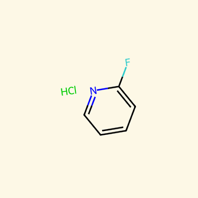 Cl.Fc1ccccn1